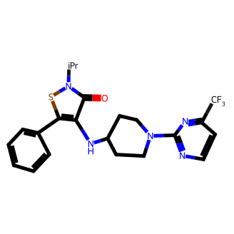 CC(C)n1sc(-c2ccccc2)c(NC2CCN(c3nccc(C(F)(F)F)n3)CC2)c1=O